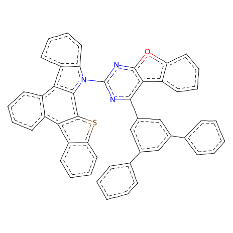 c1ccc(-c2cc(-c3ccccc3)cc(-c3nc(-n4c5ccccc5c5c6ccccc6c6c7ccccc7sc6c54)nc4oc5ccccc5c34)c2)cc1